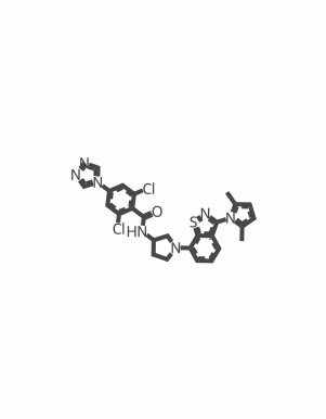 Cc1ccc(C)n1-c1nsc2c(N3CCC(NC(=O)c4c(Cl)cc(-n5cnnc5)cc4Cl)C3)cccc12